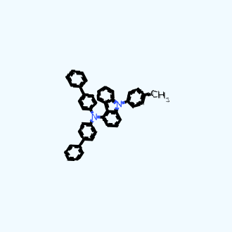 Cc1ccc(-n2c3ccccc3c3c(N(c4ccc(-c5ccccc5)cc4)c4ccc(-c5ccccc5)cc4)cccc32)cc1